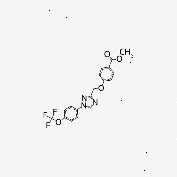 COC(=O)c1ccc(OCc2ncn(-c3ccc(OC(F)(F)F)cc3)n2)cc1